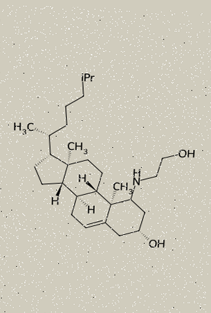 CC(C)CCC[C@@H](C)[C@H]1CC[C@H]2[C@@H]3CC=C4C[C@@H](O)CC(NCCO)[C@]4(C)[C@H]3CC[C@]12C